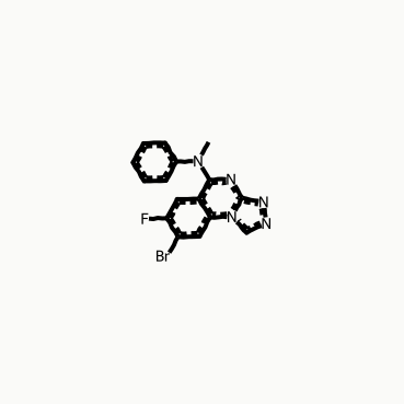 CN(c1ccccc1)c1nc2nncn2c2cc(Br)c(F)cc12